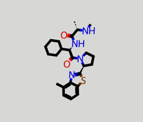 CN[C@@H](C)C(=O)N[C@H](C(=O)N1CCC[C@H]1c1nc2c(C)cccc2s1)C1CCCCC1